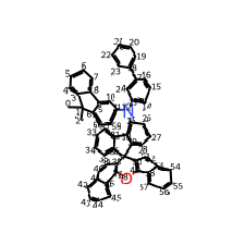 CC1(C)c2ccccc2-c2cc(N(c3cccc(-c4ccccc4)c3)c3cccc4c3-c3ccccc3C43c4ccc5ccccc5c4Oc4c3ccc3ccccc43)ccc21